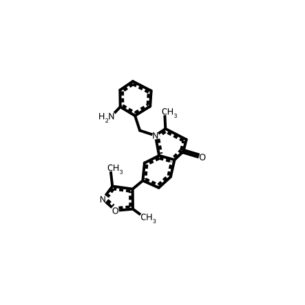 Cc1noc(C)c1-c1ccc2c(=O)cc(C)n(Cc3ccccc3N)c2c1